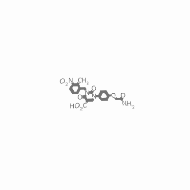 Cc1c(Cn2c(=O)c(C(=O)O)cn(-c3ccc(OCC(N)=O)cc3)c2=O)cccc1[N+](=O)[O-]